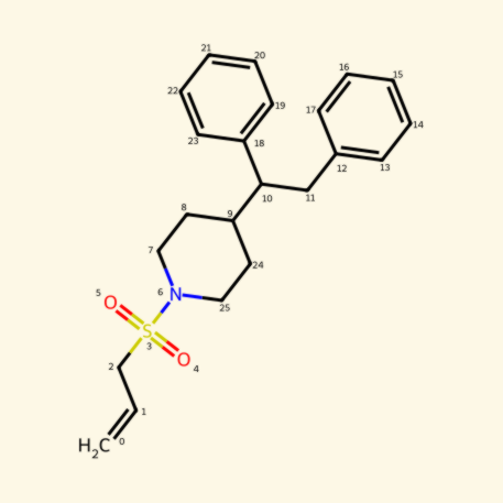 C=CCS(=O)(=O)N1CCC(C(Cc2ccccc2)c2ccccc2)CC1